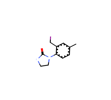 Cc1ccc(N2CCNC2=O)c(CI)c1